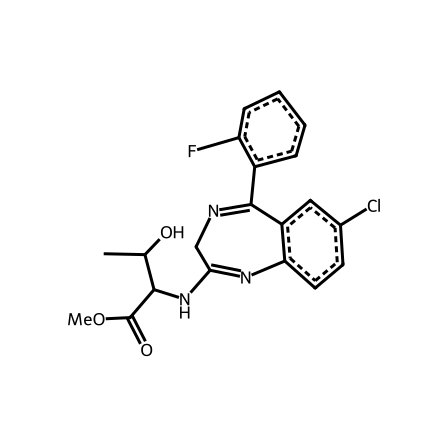 COC(=O)C(NC1=Nc2ccc(Cl)cc2C(c2ccccc2F)=NC1)C(C)O